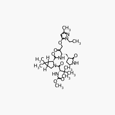 CCn1nc(C)cc1OCC(=O)[C@H](C[C@@H]1CCNC1=O)NC(=O)[C@@H]1[C@@H]2[C@H](CN1C(=O)[C@@H](NC(=O)OC)C(C)(C)C)C2(C)C